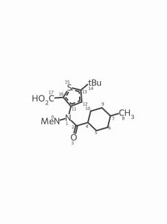 CNN(C(=O)C1CCC(C)CC1)c1cc(C(C)(C)C)sc1C(=O)O